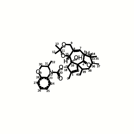 CC1=CC23C(=O)[C@@H](C=C4COC(C)(C)O[C@H]4[C@]2(O)[C@H]1OC(=O)N1c2ccccc2OCC1C)C(C)(C)[C@@H](C)CC3C